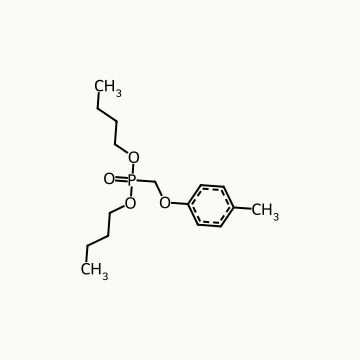 CCCCOP(=O)(COc1ccc(C)cc1)OCCCC